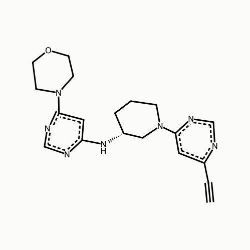 C#Cc1cc(N2CCC[C@@H](Nc3cc(N4CCOCC4)ncn3)C2)ncn1